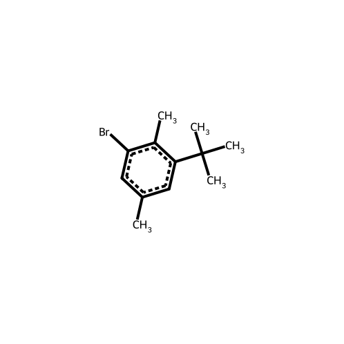 Cc1cc(Br)c(C)c(C(C)(C)C)c1